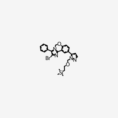 C[Si](C)(C)CCOCn1nccc1-c1ccc2c(c1)-c1nc(Br)c(-c3ccccc3)n1CO2